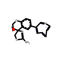 NC1=NC2(CO1)c1cc(C3=C/C=C/C=C/N=C\3)ccc1OCC21CCCO1